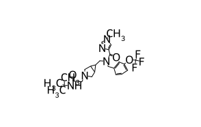 Cn1cnc(C(=O)N(Cc2cccc(OC(F)(F)F)c2)CC2C3CN(CC(=O)NC(C)(C)C)CC32)c1